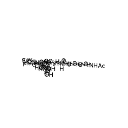 CC(=O)NCCOCCOCCOCCOCCC(=O)NCCCCCCO[C@]1(C(=O)O)C[C@H](O)[C@@H](NC(=O)CO)[C@H]([C@H](O)[C@H](O)CNC(=O)Cc2ccc(C(F)F)cc2)O1